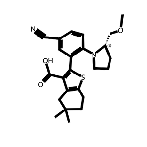 COC[C@@H]1CCCN1c1ccc(C#N)cc1-c1sc2c(c1C(=O)O)CC(C)(C)CC2